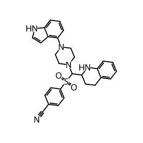 N#Cc1ccc(S(=O)(=O)C(C2CCc3ccccc3N2)N2CCN(c3cccc4[nH]ccc34)CC2)cc1